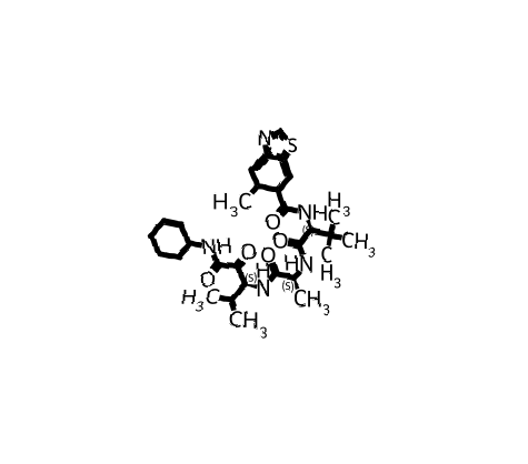 CC1C=c2ncsc2=CC1C(=O)N[C@H](C(=O)N[C@@H](C)C(=O)N[C@H](C(=O)C(=O)NC1CCCCC1)C(C)C)C(C)(C)C